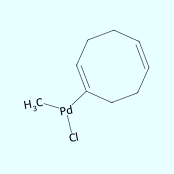 [CH3][Pd]([Cl])[C]1=CCCC=CCC1